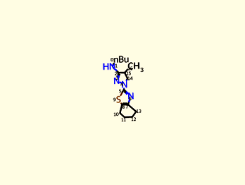 CCCCNC1=NN(c2nc3c(s2)CCCC3)CC1C